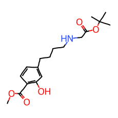 COC(=O)c1ccc(CCCCNCC(=O)OC(C)(C)C)cc1O